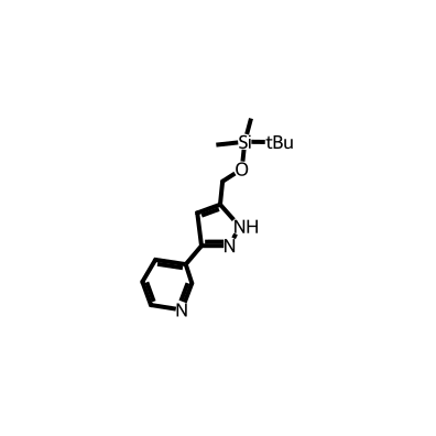 CC(C)(C)[Si](C)(C)OCc1cc(-c2cccnc2)n[nH]1